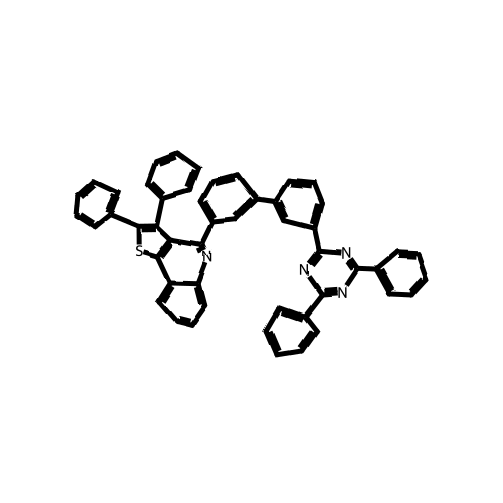 c1ccc(-c2nc(-c3ccccc3)nc(-c3cccc(-c4cccc(-c5nc6ccccc6c6sc(-c7ccccc7)c(-c7ccccc7)c56)c4)c3)n2)cc1